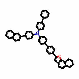 c1ccc(-c2ccc(N(c3ccc(-c4ccc(-c5cc6ccc7ccccc7c6o5)cc4)cc3)c3ccc(-c4ccc5ccccc5c4)cc3)cc2)cc1